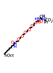 CCCCCCCC/C=C\CCCCCCCC(=O)NCCOCCOCCOCCOCCOCCOCC(=O)N[C@@H](C)C(=O)N[C@H](C(=O)O)C(C)C